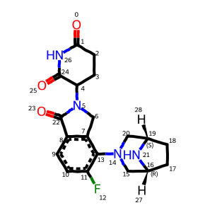 O=C1CCC(N2Cc3c(ccc(F)c3N3C[C@H]4CC[C@@H](C3)N4)C2=O)C(=O)N1